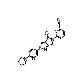 N#Cc1cccc(N2Cc3nn(-c4ccc(N5CCCC5)nc4)cc3C2=O)n1